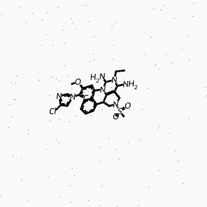 CCN1C(N)C2=C(C(c3ccccc3)CN(S(C)(=O)=O)C2)N(c2ccc(-n3cnc(Cl)c3)c(OC)c2)C1N